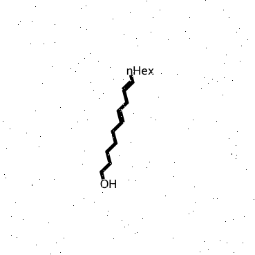 CCCCCCC=CCC=CCCCCCO